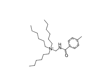 CCCCCC[N+](CCCCCC)(CCCCCC)CNC(=O)c1ccc(C)cc1